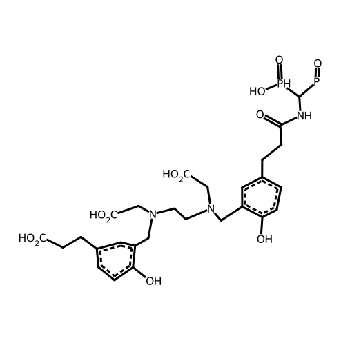 O=PC(NC(=O)CCc1ccc(O)c(CN(CCN(CC(=O)O)Cc2cc(CCC(=O)O)ccc2O)CC(=O)O)c1)[PH](=O)O